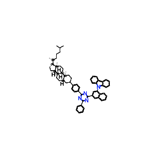 CC(C)CCC[C@@H](C)[C@H]1CC[C@H]2[C@@H]3CC[C@H]4CC(c5ccc(-c6nc(-c7ccccc7)nc(-c7cc(-n8c9ccccc9c9ccccc98)c8ccccc8c7)n6)cc5)CC[C@]4(C)[C@H]3CC[C@]12C